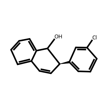 OC1c2ccccc2C=C[C@@H]1c1cccc(Cl)c1